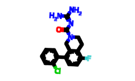 NC(N)=NC(=O)N1CCc2c(F)ccc(-c3ccccc3Cl)c2C1